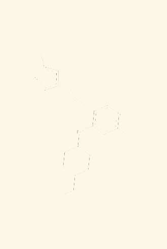 OCC1CCC(Nc2cc(Cl)ncc2C#Cc2cnn(C(F)(F)F)c2)CC1